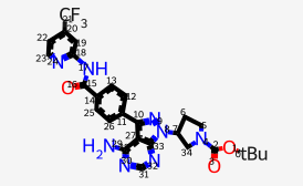 CC(C)(C)OC(=O)N1CCC(n2nc(-c3ccc(C(=O)Nc4cc(C(F)(F)F)ccn4)cc3)c3c(N)ncnc32)C1